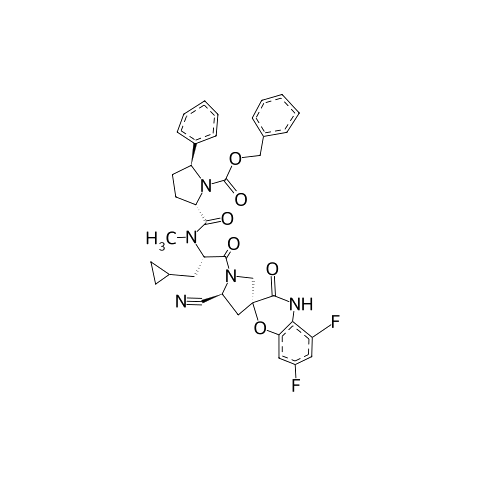 CN(C(=O)[C@@H]1CC[C@@H](c2ccccc2)N1C(=O)OCc1ccccc1)[C@@H](CC1CC1)C(=O)N1C[C@@]2(C[C@H]1C#N)Oc1cc(F)cc(F)c1NC2=O